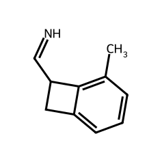 Cc1cccc2c1C(C=N)C2